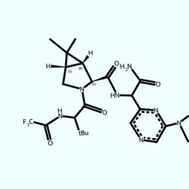 CN(C)c1cncc(C(NC(=O)[C@@H]2[C@@H]3[C@H](CN2C(=O)C(NC(=O)C(F)(F)F)C(C)(C)C)C3(C)C)C(N)=O)n1